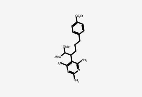 CCOC(=O)c1ccc(CCCC(c2c(N)nc(N)nc2N)C(OC)OC)cc1